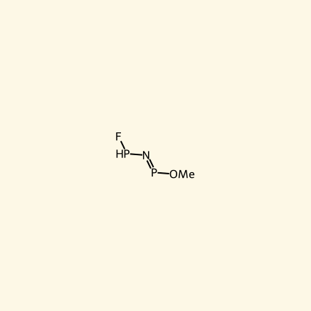 CO/P=N/PF